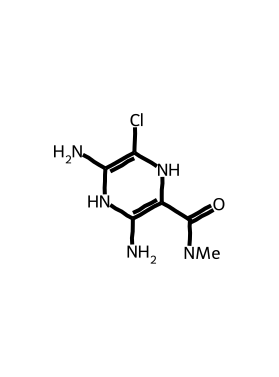 CNC(=O)C1=C(N)NC(N)=C(Cl)N1